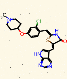 CN1CCC(Oc2ccc(/C=c3/[nH]c(=O)/c(=C/c4c[nH]c5ncncc45)s3)c(Cl)c2)CC1